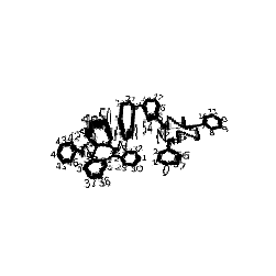 c1ccc(-c2nc(-c3ccccc3)nc(-c3cccc(-c4cccc(-n5c6c(c7ccccc75)-c5ccccc5N(c5ccccc5)c5ccccc5-6)c4)c3)n2)cc1